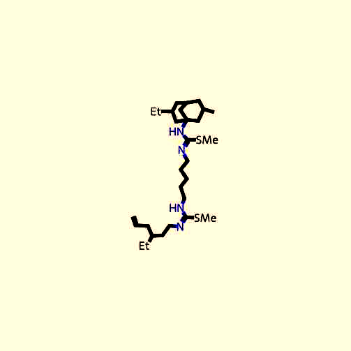 C=CCC(CC)CC/N=C(\NCCCCC/N=C(/NC12CC(C)CC(CC(CC)C1)C2)SC)SC